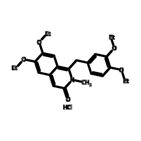 CCOc1ccc(Cc2c3cc(OCC)c(OCC)cc3cc(=O)n2C)cc1OCC.Cl